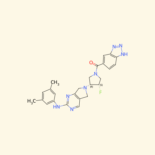 Cc1cc(C)cc(Nc2ncc3c(n2)CN([C@@H]2CN(C(=O)c4ccc5[nH]nnc5c4)C[C@@H]2F)C3)c1